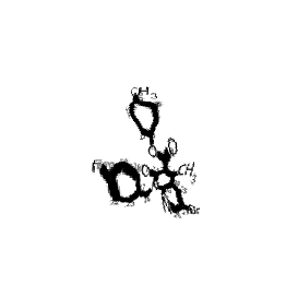 Cc1c(C(=O)OC2CCC(C)CC2)c(=O)n(Cc2ccc(F)cc2)c2ncc(Br)cc12